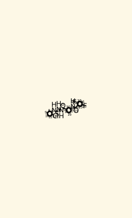 O=C(NNC(=S)Nc1ccccc1Cl)c1cccc(NC(=O)c2cc(F)ccc2F)c1